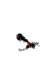 COc1ccc2c(c1)nc([S+]([O-])Cc1ncc(C)c(OC)c1C)n2C(=O)OCCSSCCOC(=O)Cc1ccccc1Nc1c(Cl)cccc1Cl